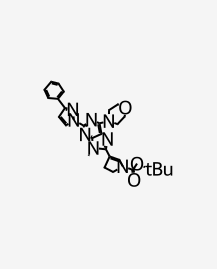 Cn1c(C2=CN(C(=O)OC(C)(C)C)CC2)nc2c(N3CCOCC3)nc(-n3ccc(-c4ccccc4)n3)nc21